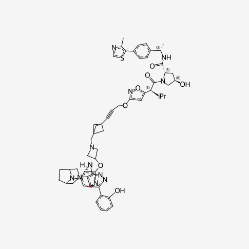 Cc1ncsc1-c1ccc([C@H](C)NC(=O)[C@@H]2C[C@@H](O)CN2C(=O)[C@H](c2cc(OCC#CC34CC(CN5CC(Oc6cc(N7C8CCC7CN(c7cc(-c9ccccc9O)nnc7N)C8)ccn6)C5)(C3)C4)no2)C(C)C)cc1